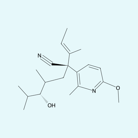 C/C=C(\C)[C@@](C#N)(CC(C)[C@H](O)C(C)C)c1ccc(OC)nc1C